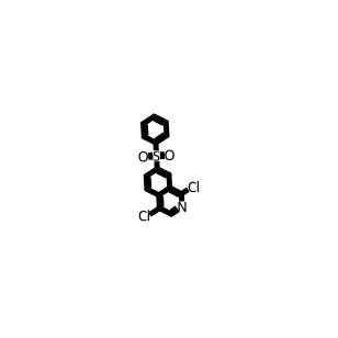 O=S(=O)(c1ccccc1)c1ccc2c(Cl)cnc(Cl)c2c1